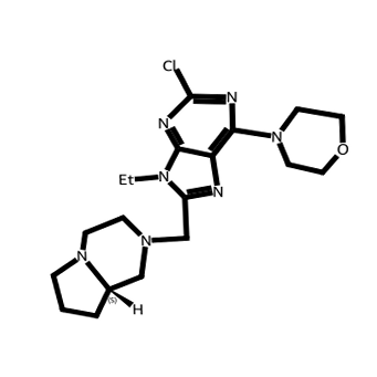 CCn1c(CN2CCN3CCC[C@H]3C2)nc2c(N3CCOCC3)nc(Cl)nc21